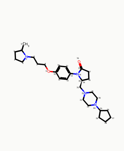 CC1CCCN1CCCOc1ccc(N2C(=O)CC[C@H]2CN2CCN(C3CCCC3)CC2)cc1